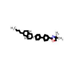 CCCCC1CC[C@@H]2C[C@H](c3ccc(-c4ccc(C5=NC(C)(C)CO5)cc4)cc3)CC[C@@H]2C1